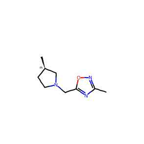 Cc1noc(CN2CC[C@@H](C)C2)n1